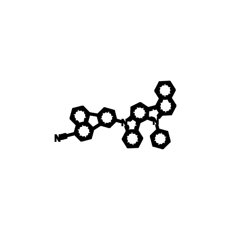 N#Cc1ccc2c3c(cccc13)-c1ccc(-n3c4ccccc4c4c3ccc3c5c6ccccc6ccc5n(-c5ccccc5)c34)cc1-2